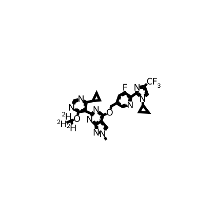 [2H]C([2H])([2H])Oc1ncnc(C2CC2)c1-c1nc(OCc2cnc(-c3nc(C(F)(F)F)cn3C3CC3)c(F)c2)c2cn(C)nc2n1